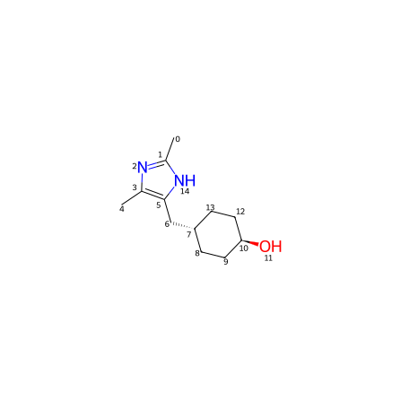 Cc1nc(C)c(C[C@H]2CC[C@H](O)CC2)[nH]1